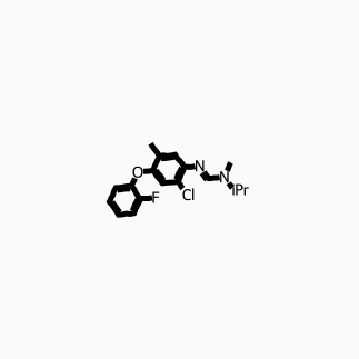 Cc1cc(N=CN(C)C(C)C)c(Cl)cc1Oc1ccccc1F